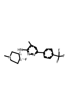 Cc1cc(-c2ccc(C(F)(F)F)cc2)nnc1N[C@H]1CN(C)CC[C@H]1F